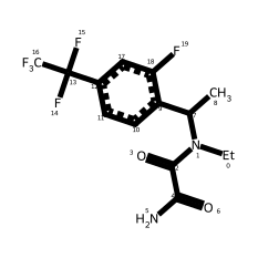 CCN(C(=O)C(N)=O)C(C)c1ccc(C(F)(F)C(F)(F)F)cc1F